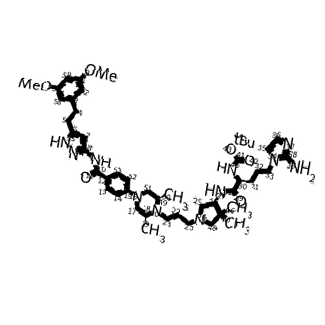 COc1cc(CCc2cc(NC(=O)c3ccc(N4C[C@@H](C)N(CCCN5C[C@H](NC(=O)[C@H](CCCn6ccnc6N)NC(=O)OC(C)(C)C)C(C)(C)C5)[C@@H](C)C4)cc3)n[nH]2)cc(OC)c1